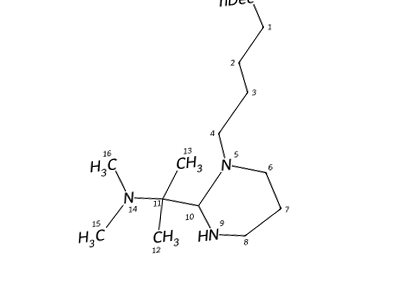 CCCCCCCCCCCCCCN1CCCNC1C(C)(C)N(C)C